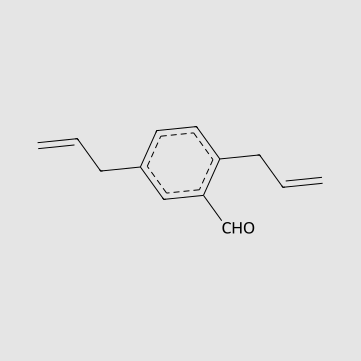 C=CCc1ccc(CC=C)c(C=O)c1